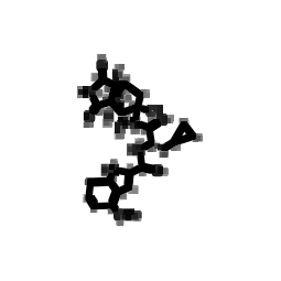 COc1cccc2[nH]c(C(=O)N[C@@H](CC3CC3)C(=O)N[C@@]3(C#N)CC4CC[C@@H]3[C@H]3C(=O)NC(=O)[C@@H]43)cc12